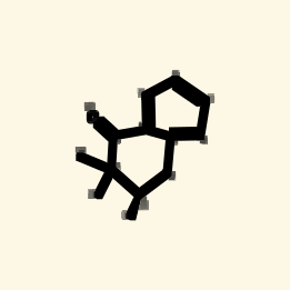 C[C@@H]1Cc2ccccc2C(=O)C1(C)C